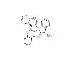 O=C1C(=O)C(C2=NOC3=CC=CCC3=C2)(C2=NOC3=CC=CCC3=C2)c2ccccc21